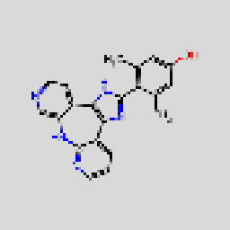 Cc1cc(O)cc(C)c1-c1nc2c([nH]1)-c1ccncc1Nc1ncccc1-2